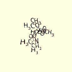 CC(C)O[C@H](COCOC(=O)[C@H](N)C(C)C)CN(C)S(C)(=O)=O